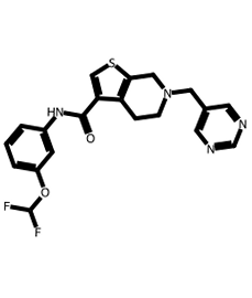 O=C(Nc1cccc(OC(F)F)c1)c1csc2c1CCN(Cc1cncnc1)C2